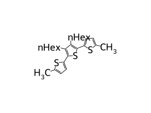 CCCCCCc1c(-c2ccc(C)s2)sc(-c2ccc(C)s2)c1CCCCCC